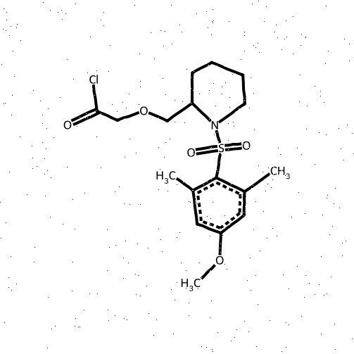 COc1cc(C)c(S(=O)(=O)N2CCCCC2COCC(=O)Cl)c(C)c1